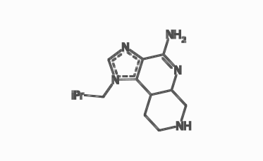 CC(C)Cn1cnc2c1C1CCNCC1N=C2N